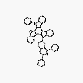 c1ccc(-c2nc(-c3ccccc3)c3cc(-n4c5ccccc5c5c6c7ccccc7n(-c7ccccc7)c6c6oc7ccccc7c6c54)ccc3n2)cc1